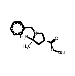 CC(C)(C)OC(=O)[C@@H]1CN(Cc2ccccc2)[C@](C)(N)C1